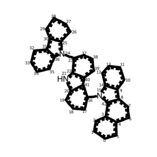 c1ccc2c(c1)ccc1c3ccccc3n(-c3cccc4[nH]c5c(-n6c7ccccc7c7ccccc76)cccc5c34)c21